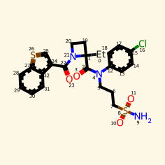 CCC1(C(=O)N(CCCS(N)(=O)=O)c2ccc(Cl)cc2)CCN1C(=O)c1csc2ccccc12